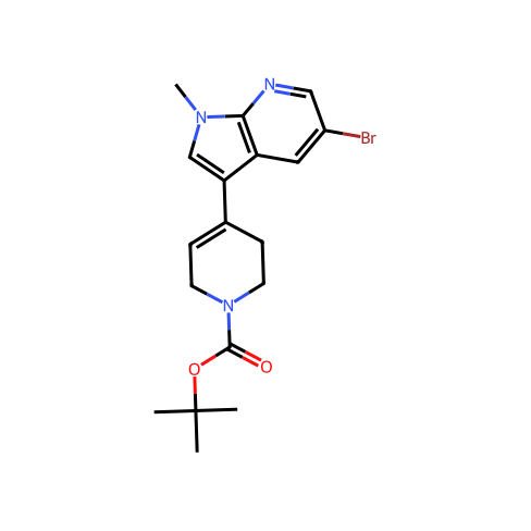 Cn1cc(C2=CCN(C(=O)OC(C)(C)C)CC2)c2cc(Br)cnc21